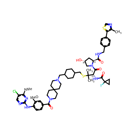 CNc1nc(Nc2ccc(C(=O)N3CCC4(CCN(CC5CCC(CSC(C)(C)[C@@H](NC(=O)C6(F)CC6)C(=O)N6C[C@H](O)C[C@H]6C(=O)NCc6ccc(-c7scnc7C)cc6)CC5)CC4)CC3)cc2OC)ncc1Cl